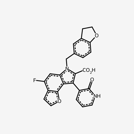 O=C(O)c1c(-c2ccc[nH]c2=O)c2c3occc3c(F)cc2n1Cc1ccc2c(c1)CCO2